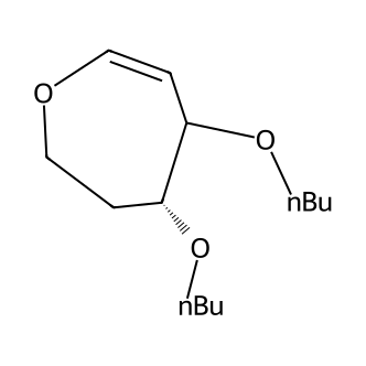 CCCCOC1C=COCC[C@H]1OCCCC